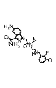 NC(=O)c1nn(CC(=O)N(CCNCc2cccc(Cl)c2F)C2CC2)c2ccc(N)cc12